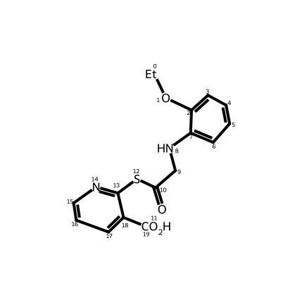 CCOc1ccccc1NCC(=O)Sc1ncccc1C(=O)O